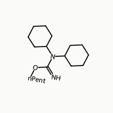 CCCCCOC(=N)N(C1CCCCC1)C1CCCCC1